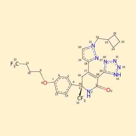 O=C1N[C@@](c2ccc(OCCCC(F)(F)F)cc2)(C(F)(F)F)CC(c2ccn(CC3CCC3)n2)=C1c1nnn[nH]1